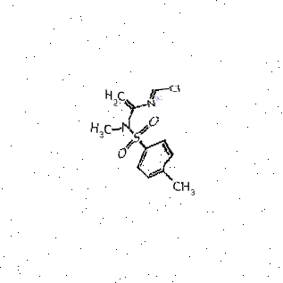 C=C(/N=C/Cl)N(C)S(=O)(=O)c1ccc(C)cc1